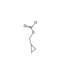 O=[N+]([O-])OCC1[CH]C1